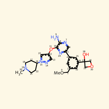 COCc1cc(-c2cnc(N)c(Oc3cnn(C4CCN(C)CC4)c3)n2)cc(C2(O)COC2)c1